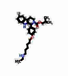 CCNCCCCCCOc1ccc(C2c3[nH]c4c(c3CCN2C(=O)OCC(C)C)CC(Cl)C=C4)cc1